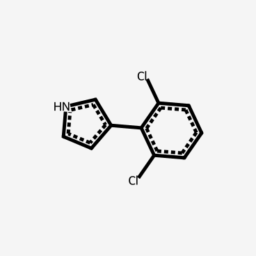 Clc1cccc(Cl)c1-c1cc[nH]c1